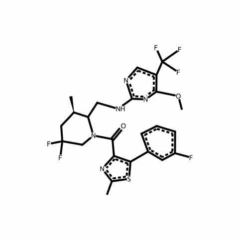 COc1nc(NCC2[C@H](C)CC(F)(F)CN2C(=O)c2nc(C)sc2-c2cccc(F)c2)ncc1C(F)(F)F